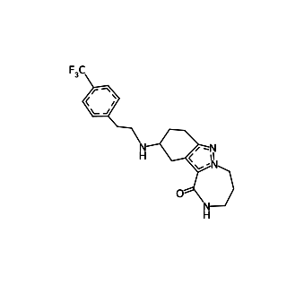 O=C1NCCCn2nc3c(c21)CC(NCCc1ccc(C(F)(F)F)cc1)CC3